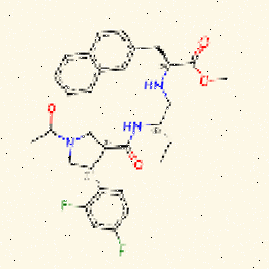 CC[C@@H](CN[C@@H](Cc1ccc2ccccc2c1)C(=O)OC)NC(=O)[C@@H]1CN(C(C)=O)C[C@H]1c1ccc(F)cc1F